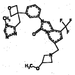 COC1CN(Cc2cc(C(F)(F)F)c3cn(-c4cccc(C5(Cc6nncn6C)COC5)c4)c(=O)n3c2)C1